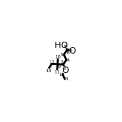 CCOC(CCC(=O)O)C(C)(C)CC